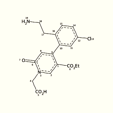 CCOC(=O)c1cn(CC(=O)O)c(=O)cc1-c1cc(Cl)ccc1CCN